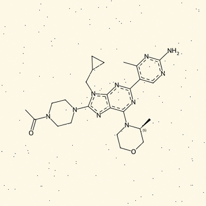 CC(=O)N1CCN(c2nc3c(N4CCOC[C@@H]4C)nc(-c4cnc(N)nc4C)nc3n2CC2CC2)CC1